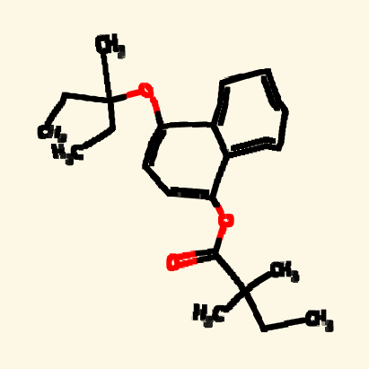 CCC(C)(CC)Oc1ccc(OC(=O)C(C)(C)CC)c2ccccc12